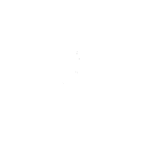 C1CCC(N2C3CCCCC3C3C4C5CCCCC5N(C5CCC(C6CCCC7CCCCC76)CC5)C4CCC32)CC1